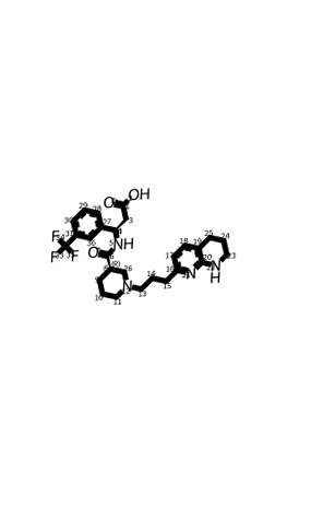 O=C(O)C[C@@H](NC(=O)[C@@H]1CCCN(CCCc2ccc3c(n2)NCCC3)C1)c1cccc(C(F)(F)F)c1